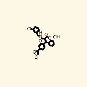 Cl.O=C(NCc1cccc(Cl)c1)c1c(-c2ccc(-c3c[nH]cn3)cc2)c2ccccc2oc1=O